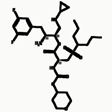 CCCC(CCC)S(=O)(=O)C[C@H](NC(=O)OC1CCOCC1)C(=O)O[C@H](CNC1CC1)[C@@H](N)Cc1cc(F)cc(F)c1